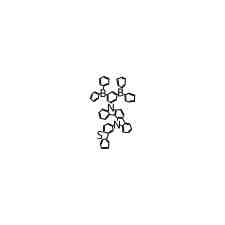 c1ccc(B(c2ccccc2)c2cc(B(c3ccccc3)c3ccccc3)cc(-n3c4ccccc4c4c3ccc3c5ccccc5n(-c5ccc6sc7ccccc7c6c5)c34)c2)cc1